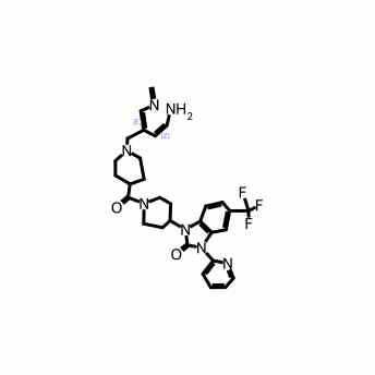 C=N/C=C(\C=C/N)CN1CCC(C(=O)N2CCC(n3c(=O)n(-c4ccccn4)c4cc(C(F)(F)F)ccc43)CC2)CC1